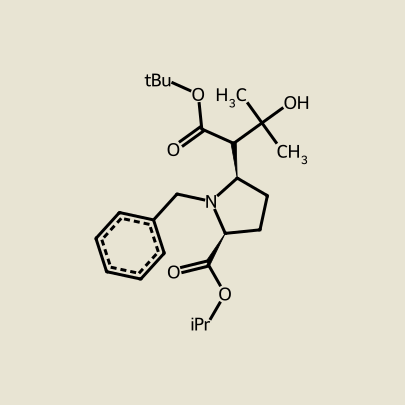 CC(C)OC(=O)[C@@H]1CC[C@H](C(C(=O)OC(C)(C)C)C(C)(C)O)N1Cc1ccccc1